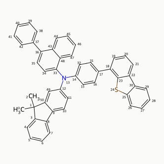 CC1(C)c2ccccc2-c2ccc(N(c3ccc(-c4cccc5c4sc4ccccc45)cc3)c3ccc(-c4ccccc4)c4ccccc34)cc21